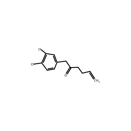 C=CCCC(=O)Cc1ccc(Cl)c(Cl)c1